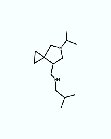 CC(C)CNCC1CN(C(C)C)CC12CC2